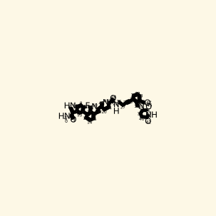 CNC(=O)c1c[nH]c2cc(F)c(-c3cccc4cc(-c5ccc(C(=O)NCCC#Cc6cccc7c6CN(C6CCC(=O)NC6=O)C7=O)nc5)ncc34)cc12